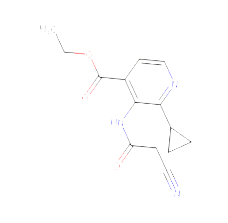 CCOC(=O)c1ccnc(C2CC2)c1NC(=O)CC#N